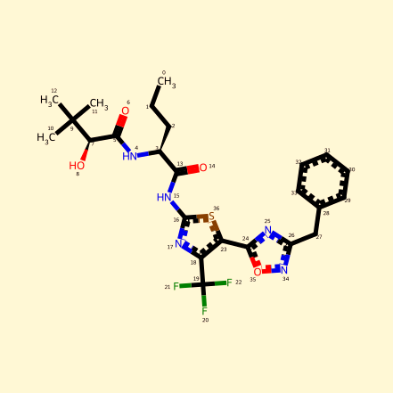 CCC[C@H](NC(=O)[C@@H](O)C(C)(C)C)C(=O)Nc1nc(C(F)(F)F)c(-c2nc(Cc3ccccc3)no2)s1